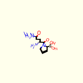 NC(=O)CC[C@H](N)C(=O)N1CC=CC1B(O)O